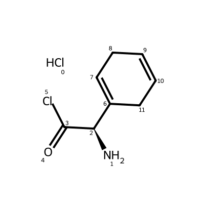 Cl.N[C@@H](C(=O)Cl)C1=CCC=CC1